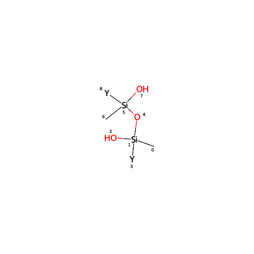 C[Si](O)([Y])O[Si](C)(O)[Y]